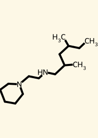 CCC(C)CC(C)CNCCN1CCCCC1